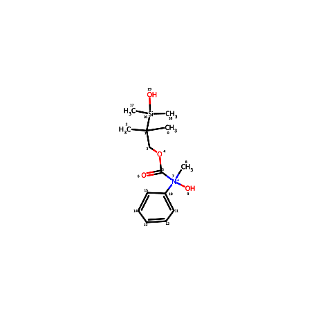 CC(C)(COC(=O)[N+](C)(O)c1ccccc1)[Si](C)(C)O